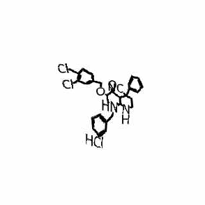 CC(OCc1ccc(Cl)c(Cl)c1)C(=O)C1C(NCc2ccccc2)NCCC1(C#N)c1ccccc1.Cl